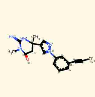 CN1C(=N)N[C@](C)(c2cnn(-c3cccc(C#CC(F)(F)F)c3)c2)CC1=O